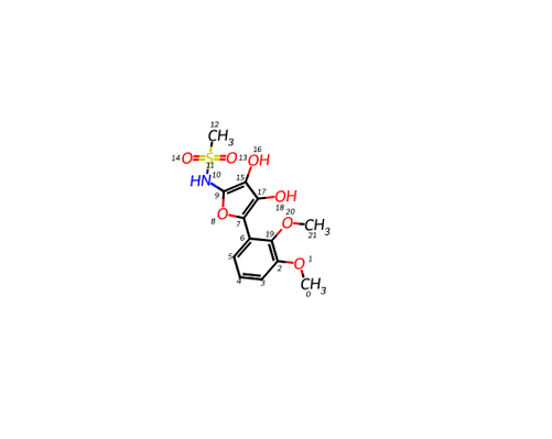 COc1cccc(-c2oc(NS(C)(=O)=O)c(O)c2O)c1OC